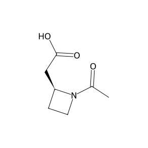 CC(=O)N1CC[C@H]1CC(=O)O